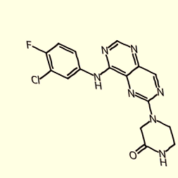 O=C1CN(c2ncc3ncnc(Nc4ccc(F)c(Cl)c4)c3n2)CCN1